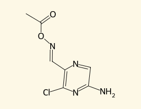 CC(=O)ON=Cc1ncc(N)nc1Cl